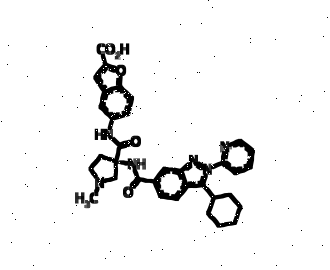 CN1CC[C@](NC(=O)c2ccc3c(C4CCCCC4)n(-c4ccccn4)nc3c2)(C(=O)Nc2ccc3oc(C(=O)O)cc3c2)C1